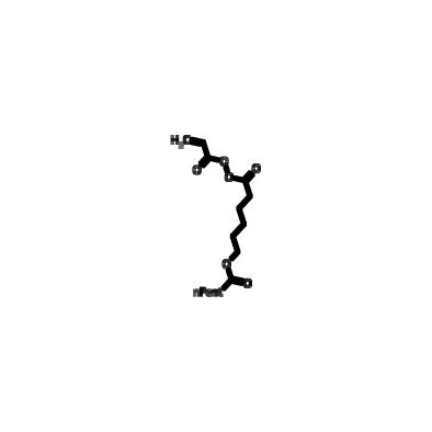 C=CC(=O)OOC(=O)CCCCCOC(=O)CCCCC